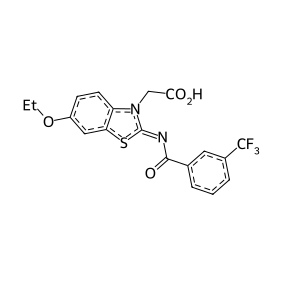 CCOc1ccc2c(c1)sc(=NC(=O)c1cccc(C(F)(F)F)c1)n2CC(=O)O